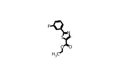 CCOC(=O)c1[c]nc(-c2cccc(F)c2)s1